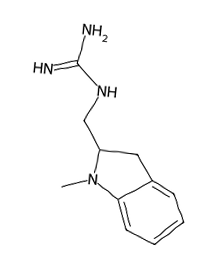 CN1c2ccccc2CC1CNC(=N)N